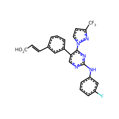 O=C(O)C=Cc1cccc(-c2cnc(Nc3cccc(F)c3)nc2-n2ccc(C(F)(F)F)n2)c1